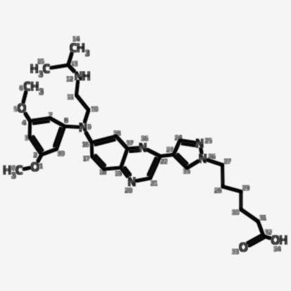 COc1cc(OC)cc(N(CCNC(C)C)c2ccc3ncc(-c4cnn(CCCCCC(=O)O)c4)nc3c2)c1